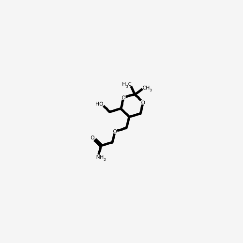 CC1(C)OCC(COCC(N)=O)C(CO)O1